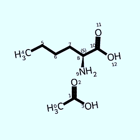 CC(=O)O.CCCC[C@H](N)C(=O)O